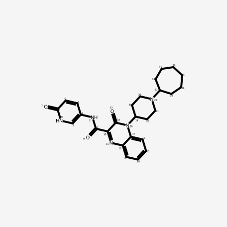 O=C(Nc1ccc(=O)[nH]c1)c1nc2ccccc2n(C2CCN(C3CCCCCC3)CC2)c1=O